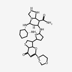 NC(=O)C1C(NC2CCC(C3CSC4C(=O)C=C(N5CCOCC5)OC43)S2)NC(N[C@H]2CCCC[C@H]2N)N2CNNC12